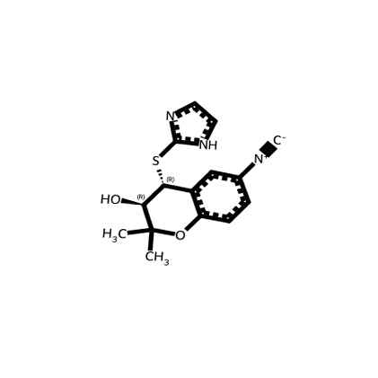 [C-]#[N+]c1ccc2c(c1)[C@@H](Sc1ncc[nH]1)[C@H](O)C(C)(C)O2